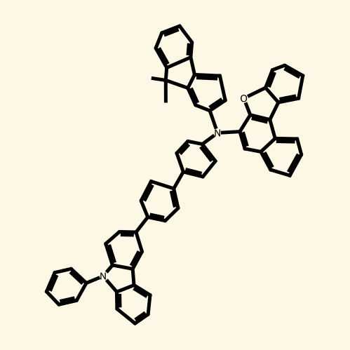 CC1(C)c2ccccc2-c2ccc(N(c3ccc(-c4ccc(-c5ccc6c(c5)c5ccccc5n6-c5ccccc5)cc4)cc3)c3cc4ccccc4c4c3oc3ccccc34)cc21